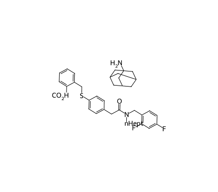 CCCCCCCN(Cc1ccc(F)cc1F)C(=O)Cc1ccc(SCc2ccccc2C(=O)O)cc1.NC12CC3CC(CC(C3)C1)C2